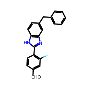 O=Cc1ccc(-c2nc3cc(Cc4ccccc4)ccc3[nH]2)c(F)c1